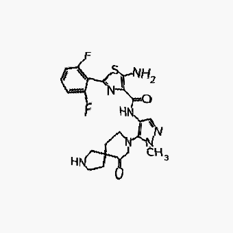 Cn1ncc(NC(=O)c2nc(-c3c(F)cccc3F)sc2N)c1N1CCC2(CCNC2)C(=O)C1